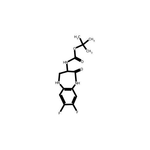 CC(C)(C)OC(=O)NC1CNc2cc(F)c(F)cc2NC1=O